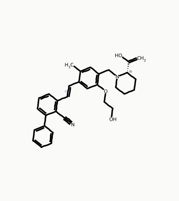 C=C(O)[C@@H]1CCCCN1Cc1cc(C)c(/C=C/c2cccc(-c3ccccc3)c2C#N)cc1OCCO